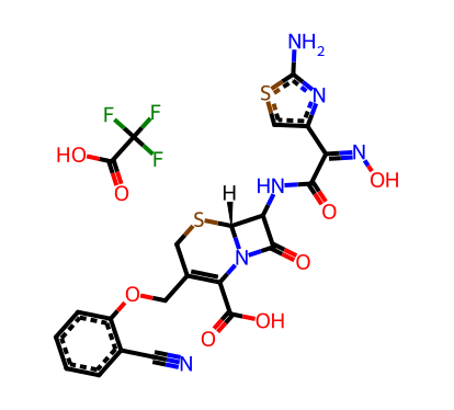 N#Cc1ccccc1OCC1=C(C(=O)O)N2C(=O)C(NC(=O)/C(=N\O)c3csc(N)n3)[C@H]2SC1.O=C(O)C(F)(F)F